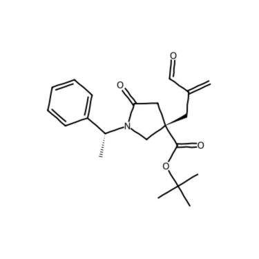 C=C(C=O)C[C@]1(C(=O)OC(C)(C)C)CC(=O)N([C@H](C)c2ccccc2)C1